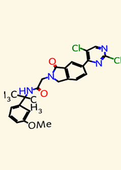 COc1cccc(C(C)(C)NC(=O)CN2Cc3ccc(-c4nc(Cl)ncc4Cl)cc3C2=O)c1